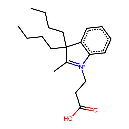 CCCCC1(CCCC)C(C)=[N+](CCC(=O)O)c2ccccc21